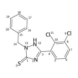 S=c1nc(-c2cccc(Cl)c2Cl)[nH]n1Cc1ccccc1